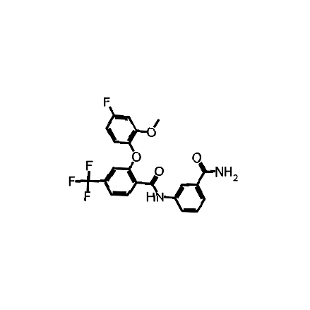 COc1cc(F)ccc1Oc1cc(C(F)(F)F)ccc1C(=O)Nc1cccc(C(N)=O)c1